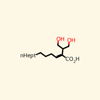 CCCCCCCCCCC=C(C(=O)O)C(CO)CO